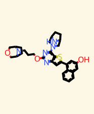 Oc1cc(-c2cc3nc(OCCCN4C5CCC4COC5)nc(N4CC5CCC(C4)N5)c3s2)c2ccccc2c1